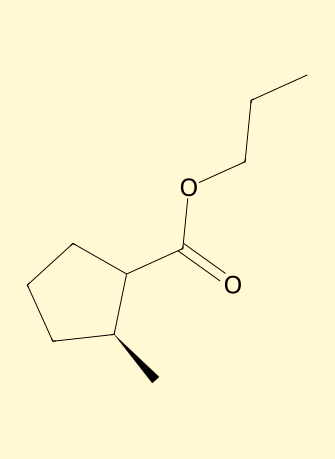 CCCOC(=O)C1CCC[C@@H]1C